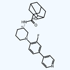 O=C(N[C@H]1CCCN(c2ccc(-c3ccncc3)cc2F)C1)C12CC3CC(C1)C(O)C(C3)C2